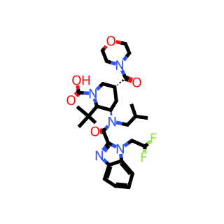 CC(C)CN(C(=O)c1nc2ccccc2n1CC(F)F)[C@H]1C[C@@H](C(=O)N2CCOCC2)CN(C(=O)O)C1C(C)(C)C